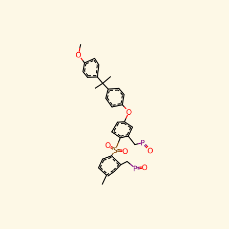 COc1ccc(C(C)(C)c2ccc(Oc3ccc(S(=O)(=O)c4ccc(C)cc4CP=O)c(CP=O)c3)cc2)cc1